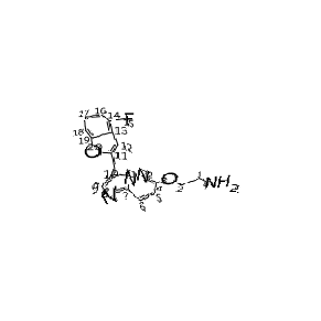 NCCOc1ccc2ncc(-c3cc4c(F)cccc4o3)n2n1